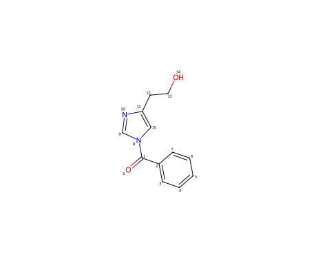 O=C(c1ccccc1)n1cnc(CCO)c1